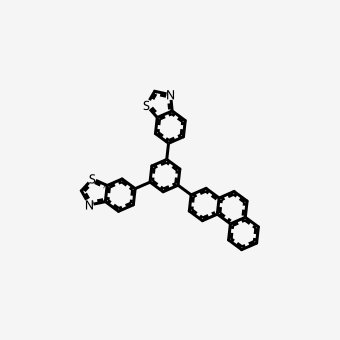 c1ccc2c(c1)ccc1cc(-c3cc(-c4ccc5ncsc5c4)cc(-c4ccc5ncsc5c4)c3)ccc12